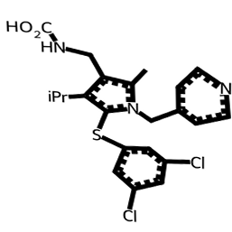 Cc1c(CNC(=O)O)c(C(C)C)c(Sc2cc(Cl)cc(Cl)c2)n1Cc1ccncc1